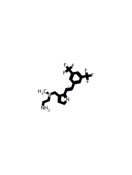 CN(CCN)CC1=CCN=C1/C=C/c1cc(C(F)(F)F)cc(C(F)(F)F)c1